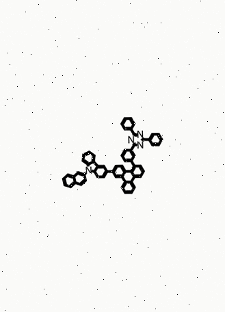 C1=C(c2ccc3c(c2)c2ccccc2c2cccc(-c4cccc(-c5nc(-c6ccccc6)nc(-c6ccccc6)n5)c4)c23)C=C2c3ccccc3N(c3ccc4ccccc4c3)C2C1